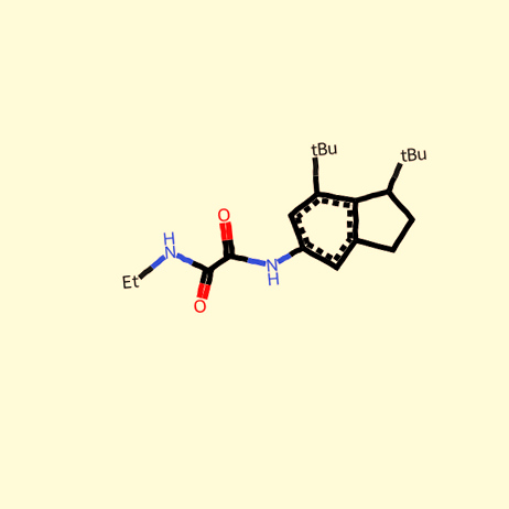 CCNC(=O)C(=O)Nc1cc2c(c(C(C)(C)C)c1)C(C(C)(C)C)CC2